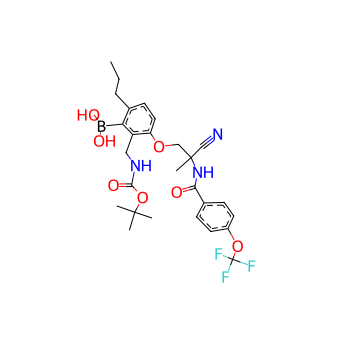 CCCc1ccc(OCC(C)(C#N)NC(=O)c2ccc(OC(F)(F)F)cc2)c(CNC(=O)OC(C)(C)C)c1B(O)O